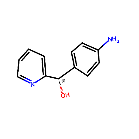 Nc1ccc([C@H](O)c2ccccn2)cc1